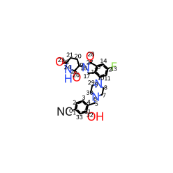 N#Cc1ccc(CN2CCN(c3cc(F)cc4c3CN(C3CCC(=O)NC3=O)C4=O)CC2)c(O)c1